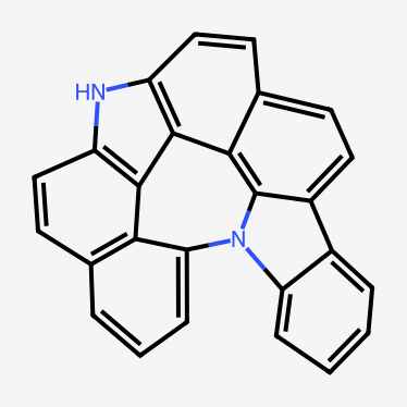 c1ccc2c(c1)c1ccc3ccc4[nH]c5ccc6cccc7c6c5c4c3c1n27